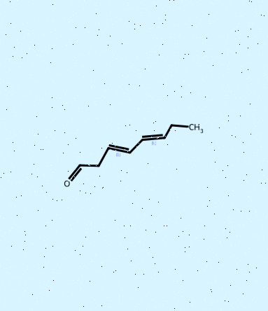 CC/C=C/C=C/CC=O